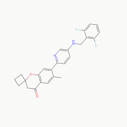 Cc1cc2c(cc1-c1ccc(NCc3c(F)cccc3F)cn1)OC1(CCC1)CC2=O